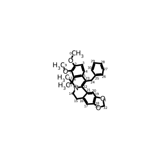 COc1ccc2c(c1OC)C(C)(C)N1CCc3cc4c(cc3C1=C2Cc1ccccc1)OCO4